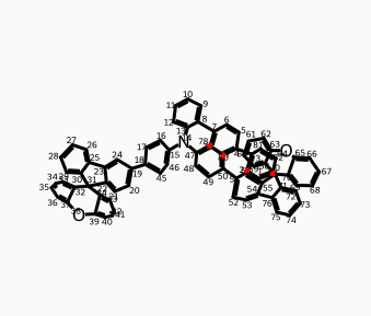 c1ccc(-c2ccc(-c3ccccc3N(c3ccc(-c4ccc5c(c4)-c4ccccc4C54c5ccccc5Oc5ccccc54)cc3)c3ccc(-c4ccc5c(c4)C4(c6ccccc6Oc6ccccc64)c4ccccc4-5)cc3)cc2)cc1